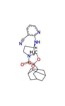 COC(=O)C12CC3CC(C1)C(OC(=O)N1CC[C@@H](Nc4ncccc4C#N)C1)C(C3)C2